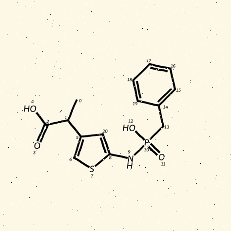 CC(C(=O)O)c1csc(NP(=O)(O)Cc2ccccc2)c1